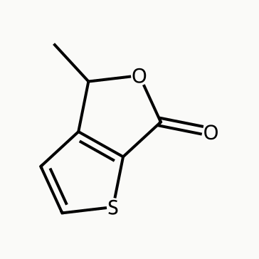 CC1OC(=O)c2sccc21